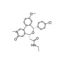 CCNC(=O)C[C@H]1O[C@@H](c2ccc(Cl)cc2)c2cc(OC)ccc2-c2cn(C)c(=O)cc21